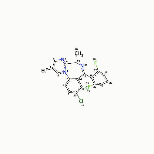 CCc1cnc2[n+](c1)-c1ccc(Cl)c(Cl)c1C(c1c(F)cccc1F)=N[C@H]2C